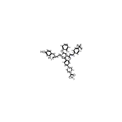 CC(=O)N1CCN(c2ccc(CN(C(=O)/C=C/c3ccc(C(F)(F)F)cc3)[C@@H](Cc3ccccc3)C(=O)N(C)CCN(C)Cc3ccc(O)cc3)cc2)CC1